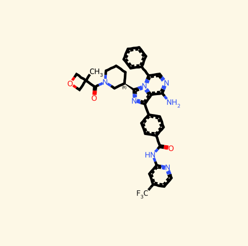 CC1(C(=O)N2CCC[C@@H](c3nc(-c4ccc(C(=O)Nc5cc(C(F)(F)F)ccn5)cc4)c4c(N)ncc(-c5ccccc5)n34)C2)COC1